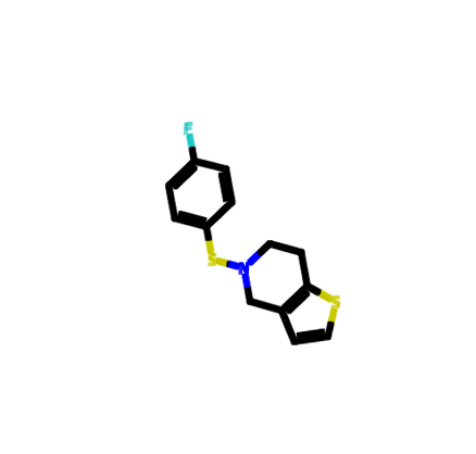 Fc1ccc(SN2CCc3sccc3C2)cc1